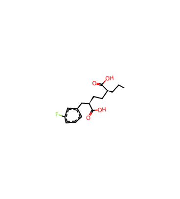 CCC[C@@H](CC[C@H](Cc1cccc(F)c1)C(=O)O)C(=O)O